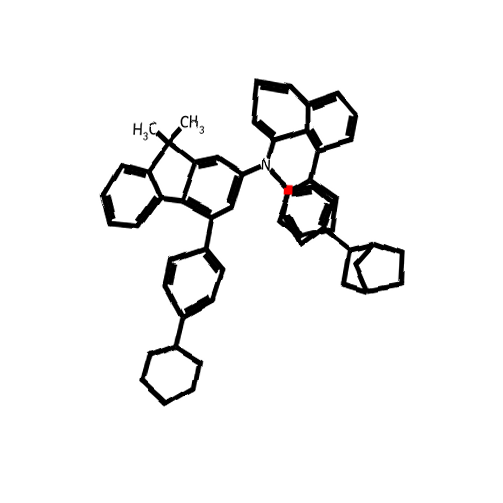 CC1(C)c2ccccc2-c2c(-c3ccc(C4CCCCC4)cc3)cc(N(c3ccc(C4CC5CCC4C5)cc3)c3cccc4cccc(C5CCCCC5)c34)cc21